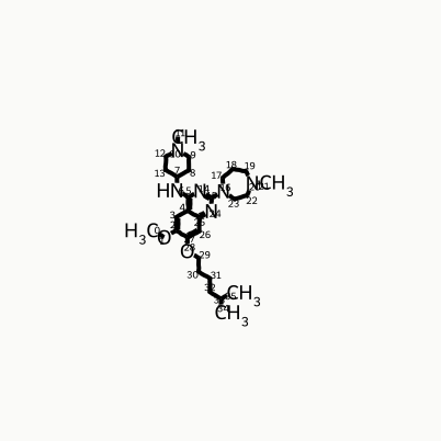 COc1cc2c(NC3CCN(C)CC3)nc(N3CCCN(C)CC3)nc2cc1OCCCCC(C)C